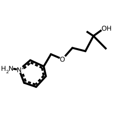 CC(C)(O)CCOCc1ccc[n+](N)c1